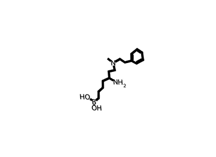 CN(CCc1ccccc1)CCC(N)CCCCB(O)O